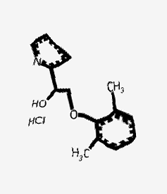 Cc1cccc(C)c1OCC(O)c1ccccn1.Cl